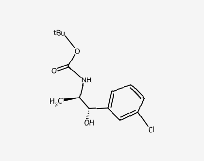 C[C@@H](NC(=O)OC(C)(C)C)[C@@H](O)c1cccc(Cl)c1